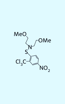 COCCN(CCOC)Sc1ccc([N+](=O)[O-])cc1C(Cl)(Cl)Cl